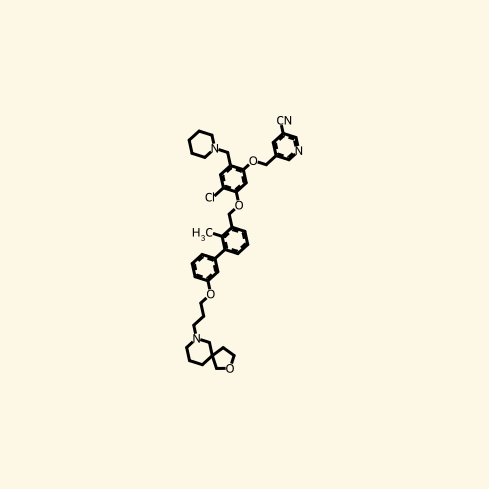 Cc1c(COc2cc(OCc3cncc(C#N)c3)c(CN3CCCCC3)cc2Cl)cccc1-c1cccc(OCCCN2CCCC3(CCOC3)C2)c1